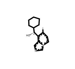 O[C@@H](c1c(I)ccn2cncc12)C1CCCCC1